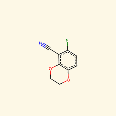 N#Cc1c(F)ccc2c1OCCO2